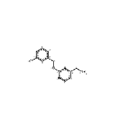 NCc1ccnc(OCc2cccc(F)c2)c1